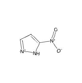 O=[N+]([O-])C1=CC=[N+]N1